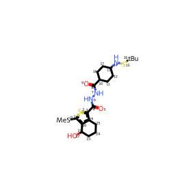 CSc1sc(C(=O)NNC(=O)C2CCC(NSC(C)(C)C)CC2)c2c1C(O)CCC2